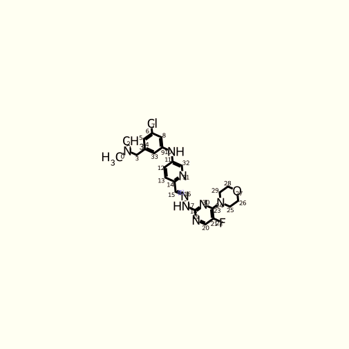 CN(C)Cc1cc(Cl)cc(Nc2ccc(/C=N/Nc3ncc(F)c(N4CCOCC4)n3)nc2)c1